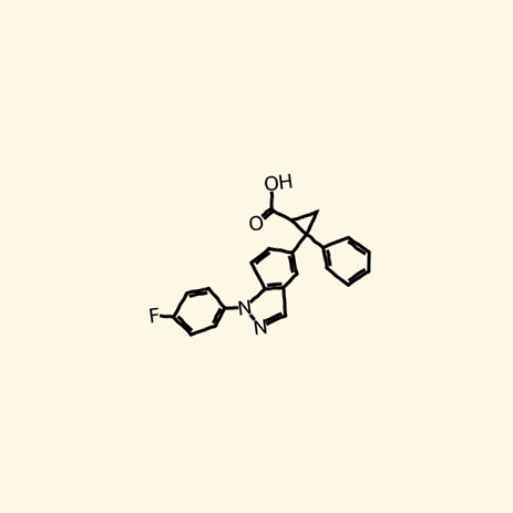 O=C(O)C1CC1(c1ccccc1)c1ccc2c(cnn2-c2ccc(F)cc2)c1